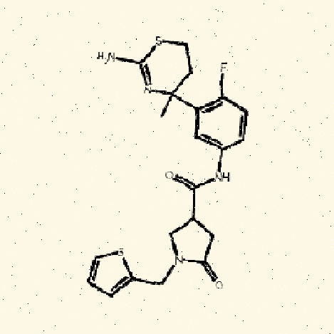 CC1(c2cc(NC(=O)C3CC(=O)N(Cc4cccs4)C3)ccc2F)CCSC(N)=N1